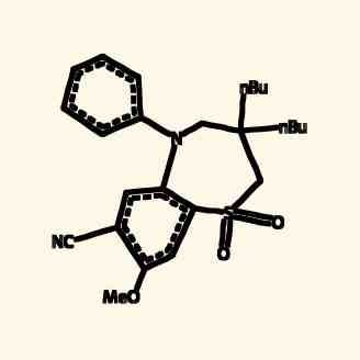 CCCCC1(CCCC)CN(c2ccccc2)c2cc(C#N)c(OC)cc2S(=O)(=O)C1